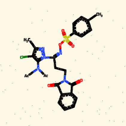 CC(=O)N(C(C)=O)c1c(Cl)c(C)nn1/C(CCN1C(=O)c2ccccc2C1=O)=N\OS(=O)(=O)c1ccc(C)cc1